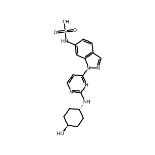 CS(=O)(=O)Nc1ccc2cnn(-c3ccnc(N[C@H]4CC[C@H](O)CC4)n3)c2c1